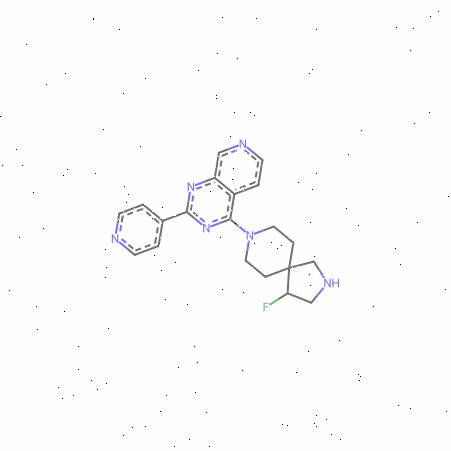 FC1CNCC12CCN(c1nc(-c3ccncc3)nc3cnccc13)CC2